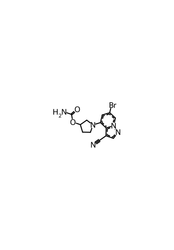 N#Cc1cnn2cc(Br)cc(N3CCC(OC(N)=O)C3)c12